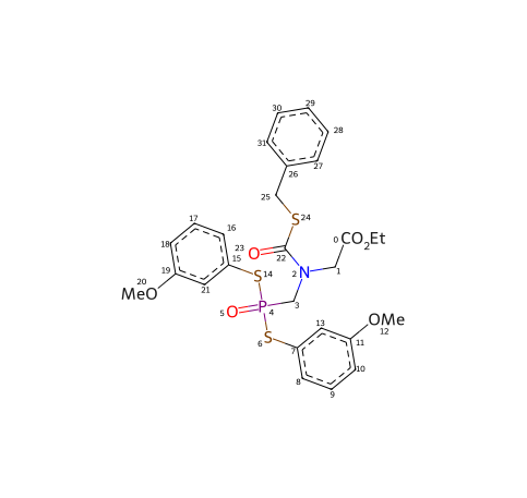 CCOC(=O)CN(CP(=O)(Sc1cccc(OC)c1)Sc1cccc(OC)c1)C(=O)SCc1ccccc1